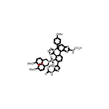 COc1ccc(CN(Cc2ccc(OC)cc2)S(=O)(=O)c2c(-c3cnc(NC(=O)OC(C)(C)C)s3)ccc(-c3cccc4sc(NC(=O)O)nc34)c2-c2nnnn2Cc2ccc(OC)cc2)cc1